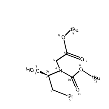 CC(C)C[C@@H](C(=O)O)N(CC(=O)OC(C)(C)C)C(=O)OC(C)(C)C